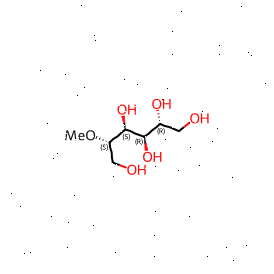 CO[C@@H](CO)[C@@H](O)[C@H](O)[C@H](O)CO